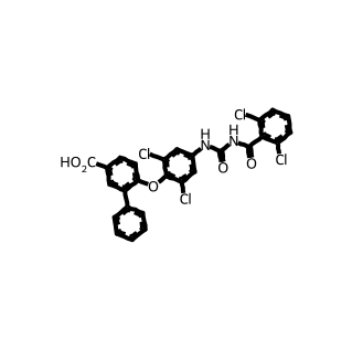 O=C(NC(=O)c1c(Cl)cccc1Cl)Nc1cc(Cl)c(Oc2ccc(C(=O)O)cc2-c2ccccc2)c(Cl)c1